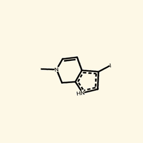 CN1C=Cc2c(I)c[nH]c2C1